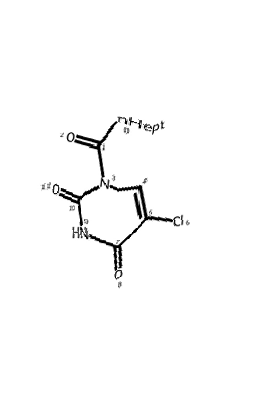 CCCCCCCC(=O)n1cc(Cl)c(=O)[nH]c1=O